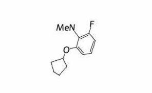 CNc1c(F)cccc1OC1CCCC1